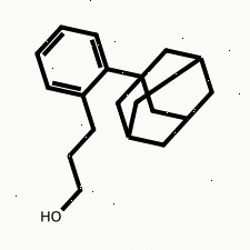 OCCCc1ccccc1C12CC3CC(CC(C3)C1)C2